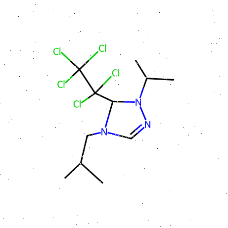 CC(C)CN1C=NN(C(C)C)C1C(Cl)(Cl)C(Cl)(Cl)Cl